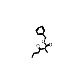 CCCC(=O)C(C)C(=O)OCc1ccccc1